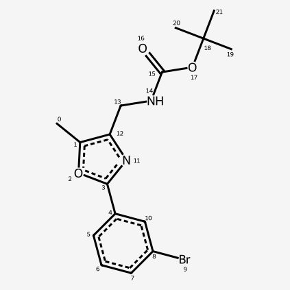 Cc1oc(-c2cccc(Br)c2)nc1CNC(=O)OC(C)(C)C